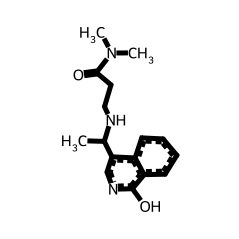 CC(NCCC(=O)N(C)C)c1cnc(O)c2ccccc12